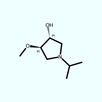 CO[C@@H]1CN(C(C)C)C[C@H]1O